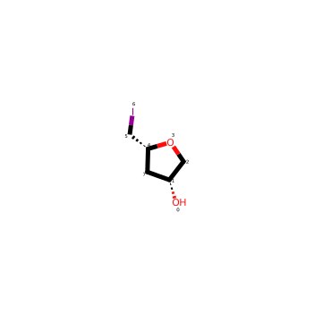 O[C@H]1CO[C@@H](CI)C1